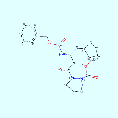 CC(C)(C)OC(=O)N1CCCN1C(=O)CC(CC1CCCC1)NC(=O)OCc1ccccc1